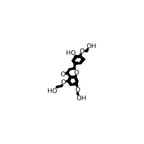 O=C1CC(c2ccc(OCO)c(O)c2)Oc2cc(OCO)cc(OCCO)c21